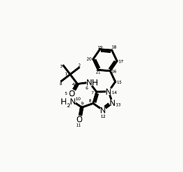 CC(C)(C)C(=O)Nc1c(C(N)=O)nnn1Cc1ccccc1